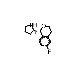 Fc1ccc2c(c1)CCOC2[C@@H]1CCCN1